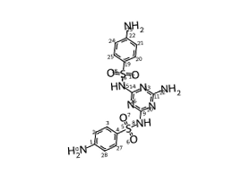 Nc1ccc(S(=O)(=O)Nc2nc(N)nc(NS(=O)(=O)c3ccc(N)cc3)n2)cc1